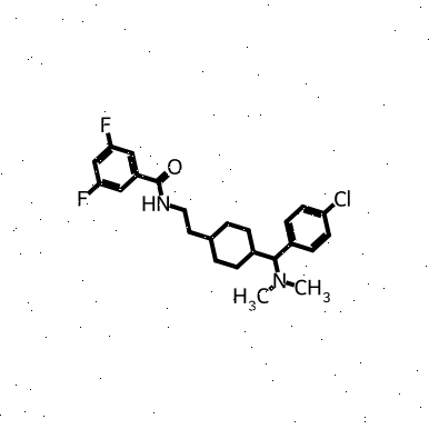 CN(C)C(c1ccc(Cl)cc1)C1CCC(CCNC(=O)c2cc(F)cc(F)c2)CC1